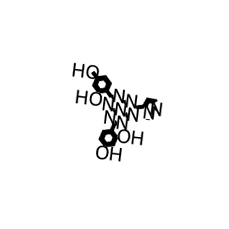 Cn1nccc1C1=NC2=NC(c3ccc(O)cc3O)=NC3=NC(c4ccc(O)cc4O)=NC(=N1)N32